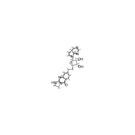 O=c1c2ccc(CC[C@H]3O[C@@H](n4ccc5cncnc54)[C@H](O)[C@@H]3O)cc2nc2n1CCN2